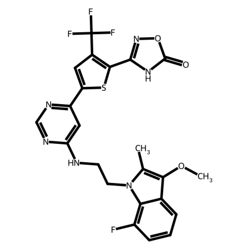 COc1c(C)n(CCNc2cc(-c3cc(C(F)(F)F)c(-c4noc(=O)[nH]4)s3)ncn2)c2c(F)cccc12